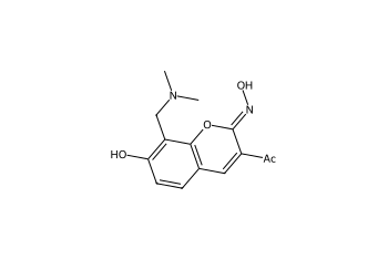 CC(=O)c1cc2ccc(O)c(CN(C)C)c2oc1=NO